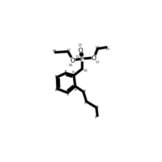 CCCCc1ccccc1CP(=O)(OCC)OCC